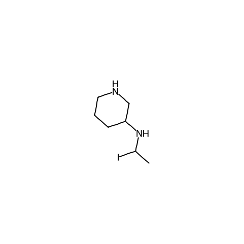 CC(I)NC1CCCNC1